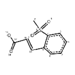 CS(=O)(=O)c1ccccc1C=CC([O])=O